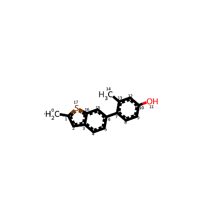 [CH2]c1cc2ccc(-c3ccc(O)cc3C)cc2s1